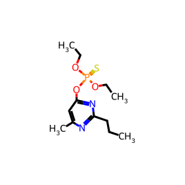 CCCc1nc(C)cc(OP(=S)(OCC)OCC)n1